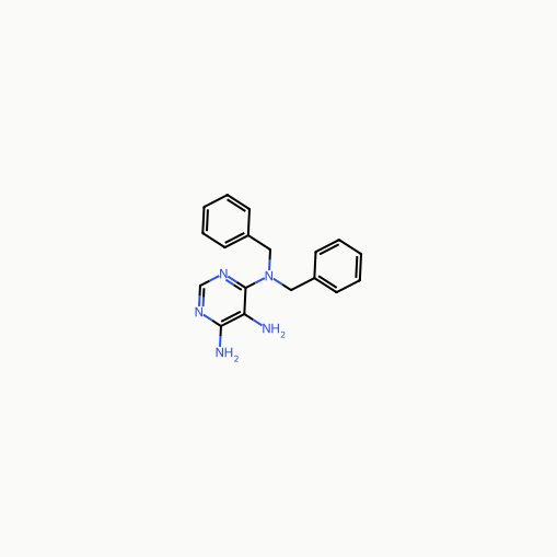 Nc1ncnc(N(Cc2ccccc2)Cc2ccccc2)c1N